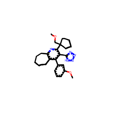 COCC1(c2nc3c(c(-c4cccc(OC)c4)c2-c2nnn[nH]2)CCCCC3)CCCC1